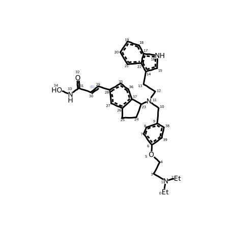 CCN(CC)CCOc1ccc(CN(CCc2c[nH]c3ccccc23)C2CCc3cc(/C=C/C(=O)NO)ccc32)cc1